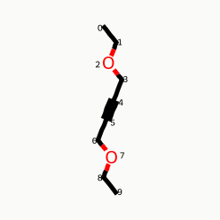 CCOCC#CCOCC